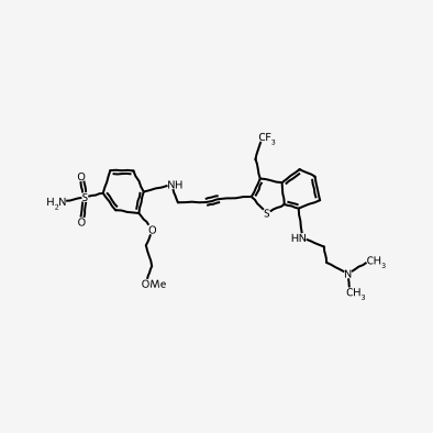 COCCOc1cc(S(N)(=O)=O)ccc1NCC#Cc1sc2c(NCCN(C)C)cccc2c1CC(F)(F)F